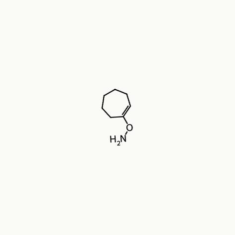 NOC1=CCCCCC1